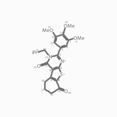 COc1cc(-c2nc3sc4c(c3c(=O)n2CC(C)C)CCCC4=O)cc(OC)c1OC